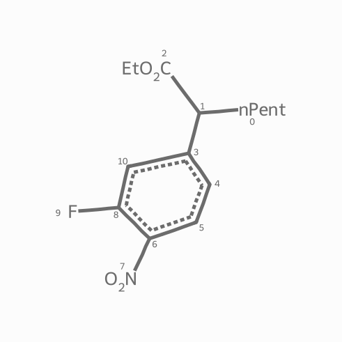 CCCCCC(C(=O)OCC)c1ccc([N+](=O)[O-])c(F)c1